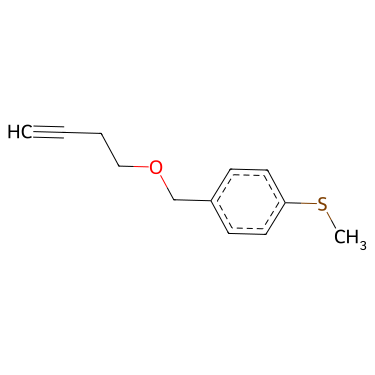 C#CCCOCc1ccc(SC)cc1